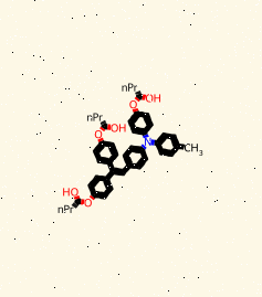 CCCC(O)Oc1ccc(C(=Cc2ccc(N(c3ccc(C)cc3)c3ccc(OC(O)CCC)cc3)cc2)c2ccc(OC(O)CCC)cc2)cc1